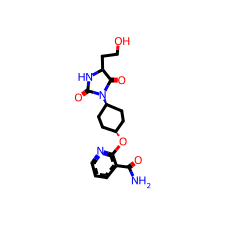 NC(=O)c1cccnc1O[C@H]1CC[C@H](N2C(=O)NC(CCO)C2=O)CC1